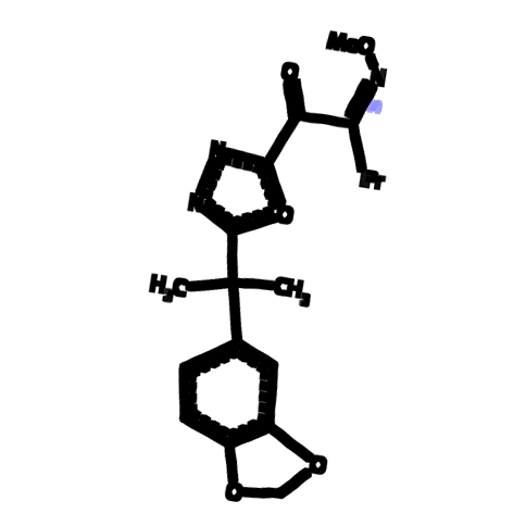 CO/N=C(\C(=O)c1nnc(C(C)(C)c2ccc3c(c2)OCO3)o1)C(C)C